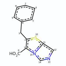 O=C(O)c1c(Cc2ccccc2)sc2cncn12